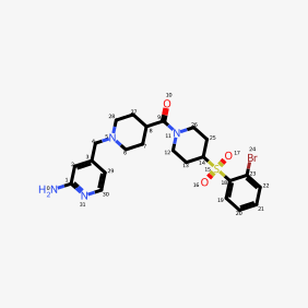 Nc1cc(CN2CCC(C(=O)N3CCC(S(=O)(=O)c4ccccc4Br)CC3)CC2)ccn1